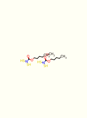 C=O.CCCCCOC(=O)N(S)S.CCCCCOC(=O)N(S)S